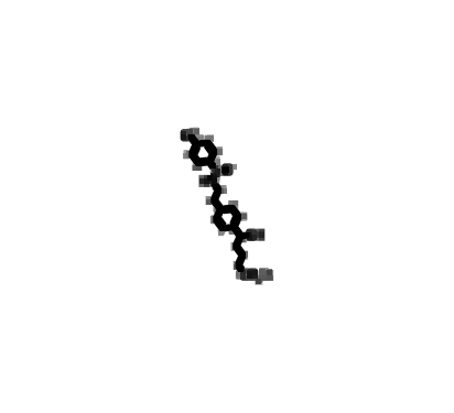 CCOC(=O)CCCC(O)c1ccc(CCN[S+]([O-])c2ccc(Cl)cc2)cc1